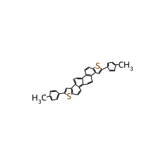 Cc1ccc(-c2cc3c(ccc4c3ccc3c5ccc6sc(-c7ccc(C)cc7)cc6c5ccc43)s2)cc1